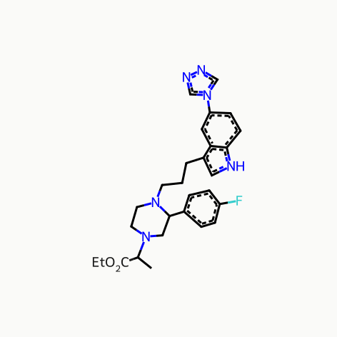 CCOC(=O)C(C)N1CCN(CCCc2c[nH]c3ccc(-n4cnnc4)cc23)C(c2ccc(F)cc2)C1